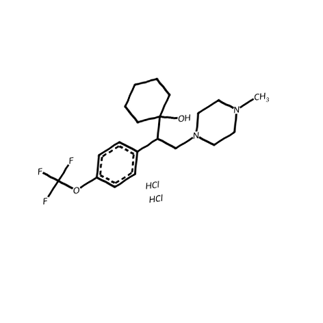 CN1CCN(CC(c2ccc(OC(F)(F)F)cc2)C2(O)CCCCC2)CC1.Cl.Cl